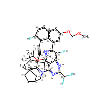 COCOc1cc(-c2nc(OC(C)C)c3c(N4CC5CCC(C5)C4)nc(C(F)F)nc3c2F)c2c(C#C[Si](C(C)C)(C(C)C)C(C)C)c(F)ccc2c1